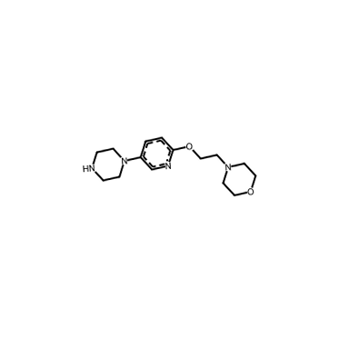 c1cc(OCCN2CCOCC2)ncc1N1CCNCC1